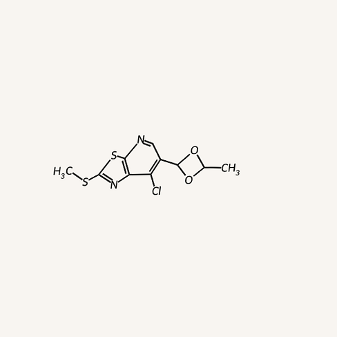 CSc1nc2c(Cl)c(C3OC(C)O3)cnc2s1